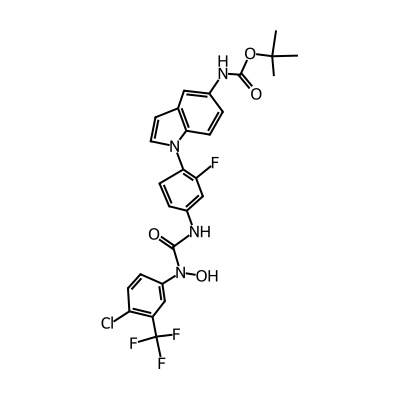 CC(C)(C)OC(=O)Nc1ccc2c(ccn2-c2ccc(NC(=O)N(O)c3ccc(Cl)c(C(F)(F)F)c3)cc2F)c1